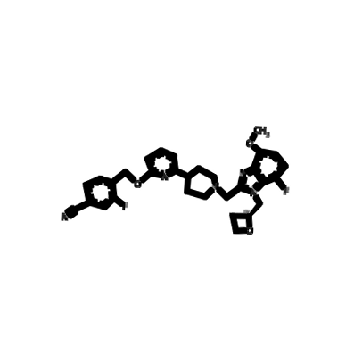 COc1ccc(F)c2c1nc(CN1CCC(c3cccc(OCc4ccc(C#N)cc4F)n3)CC1)n2C[C@@H]1CCO1